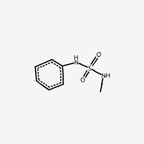 CNS(=O)(=O)Nc1cc[c]cc1